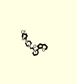 O=C(CN1CCN(c2ccc(C(F)(F)F)cn2)CC1)N1CC=CCC1c1ccc2cccoc1-2